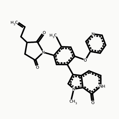 C=CCC1CC(=O)N(c2cc(-c3cn(C)c4c(=O)[nH]ccc34)c(Oc3cccnc3)cc2C)C1=O